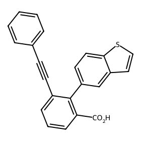 O=C(O)c1cccc(C#Cc2ccccc2)c1-c1ccc2sccc2c1